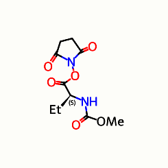 CC[C@H](NC(=O)OC)C(=O)ON1C(=O)CCC1=O